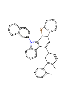 CC1=C(c2ccccc2C)CC(C2=CC3c4ccccc4SC3c3c2c2ccccc2n3-c2ccc3ccccc3c2)C#C1